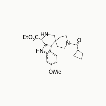 CCOC(=O)C1NCC2(CCN(C(=O)C3CCC3)CC2)c2c1[nH]c1cc(OC)ccc21